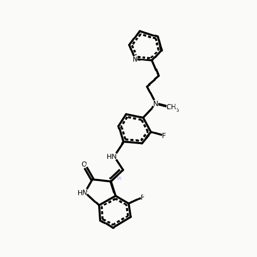 CN(CCc1ccccn1)c1ccc(N/C=C2\C(=O)Nc3cccc(F)c32)cc1F